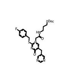 CCCCCCCCCCCCCNC(=O)Cn1cc(Cc2cncnc2)c(=O)nc1SCc1ccc(F)cc1